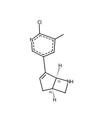 Cc1cc(C2=CC[C@@H]3CN[C@H]23)cnc1Cl